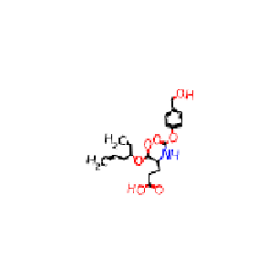 C=CCC(C=C)OC(=O)C(CCC(=O)O)NC(=O)Oc1ccc(CO)cc1